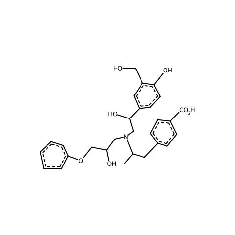 CC(Cc1ccc(C(=O)O)cc1)N(CC(O)COc1ccccc1)CC(O)c1ccc(O)c(CO)c1